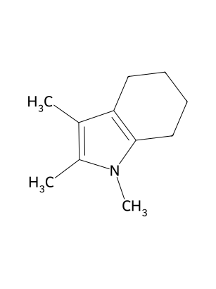 Cc1c2c(n(C)c1C)CCCC2